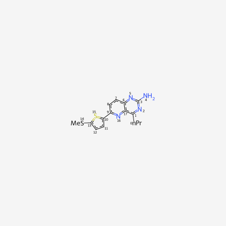 CCCc1nc(N)nc2ccc(-c3ccc(SC)s3)nc12